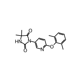 Cc1cccc(C)c1Oc1ccc(N2C(=O)NC(C)(C)C2=O)cn1